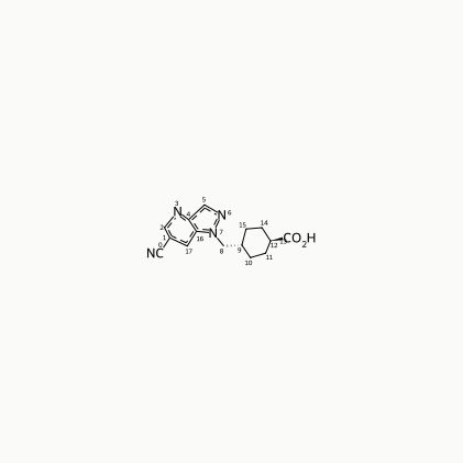 N#Cc1cnc2cnn(C[C@H]3CC[C@H](C(=O)O)CC3)c2c1